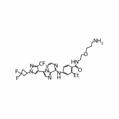 CCc1cc(Nc2nccn3c(-c4cn(C5CC(F)(F)C5)nc4C(F)(F)F)cnc23)ccc1C(=O)NCCOCCCN